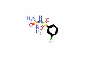 NP(N)(=O)NS(=O)(=O)c1cccc(Cl)c1